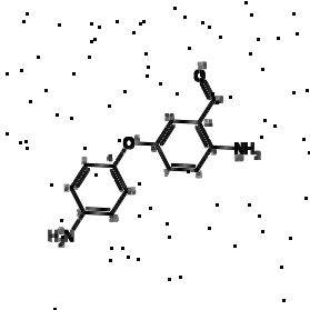 Nc1ccc(Oc2ccc(N)c([C]=O)c2)cc1